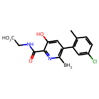 Bc1nc(C(=O)NCC(=O)O)c(O)cc1-c1cc(Cl)ccc1C